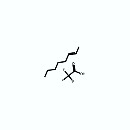 CC=CCCCCC.O=C(O)C(F)(F)F